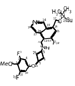 COc1c(F)cc(OC2CC(NCc3c(F)cc(CO[Si](C)(C)C(C)(C)C)c4cnccc34)C2)cc1F